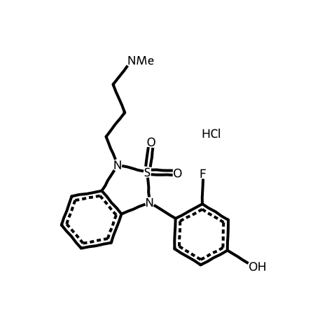 CNCCCN1c2ccccc2N(c2ccc(O)cc2F)S1(=O)=O.Cl